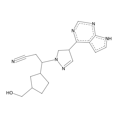 N#CCC(C1CCC(CO)C1)N1CC(c2ncnc3[nH]ccc23)C=N1